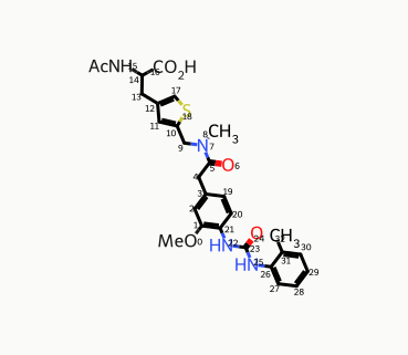 COc1cc(CC(=O)N(C)Cc2cc(CC(NC(C)=O)C(=O)O)cs2)ccc1NC(=O)Nc1ccccc1C